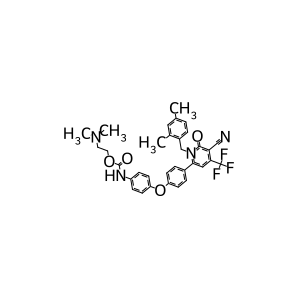 Cc1ccc(Cn2c(-c3ccc(Oc4ccc(NC(=O)OCCN(C)C)cc4)cc3)cc(C(F)(F)F)c(C#N)c2=O)c(C)c1